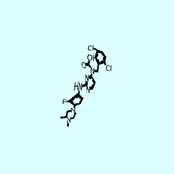 CC1CN(c2ccc(Nc3nccc(N(Cc4cc(Cl)ccc4Cl)C(=O)O)n3)cc2F)CCN1C